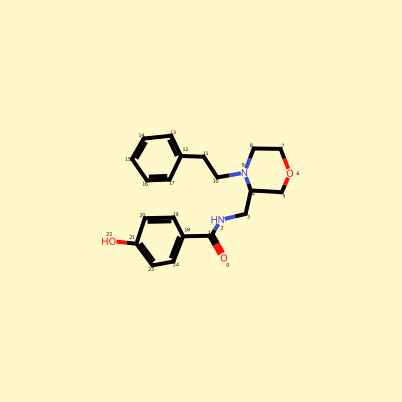 O=C(NCC1COCCN1CCc1ccccc1)c1ccc(O)cc1